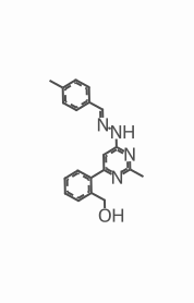 Cc1ccc(/C=N/Nc2cc(-c3ccccc3CO)nc(C)n2)cc1